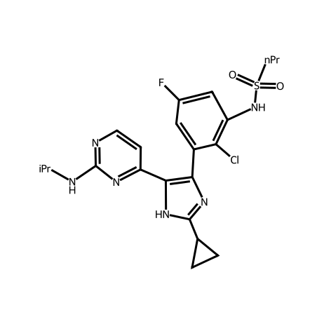 CCCS(=O)(=O)Nc1cc(F)cc(-c2nc(C3CC3)[nH]c2-c2ccnc(NC(C)C)n2)c1Cl